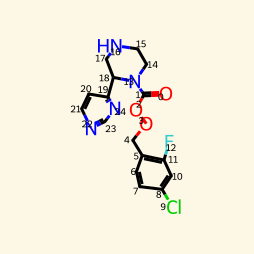 O=C(OOCc1ccc(Cl)cc1F)N1CCNCC1c1ccncn1